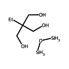 CCC(CO)(CO)CO.[SiH3]O[SiH3]